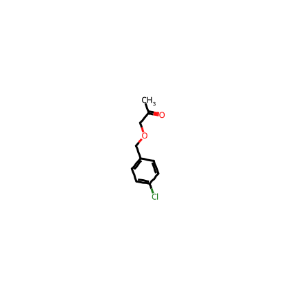 CC(=O)COCc1ccc(Cl)cc1